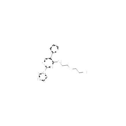 OCCOCCNc1nc(-n2ccnc2)ncc1-c1cccs1